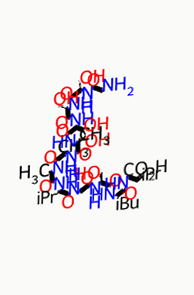 CC[C@H](C)[C@H](NC(=O)[C@H](CO)NC(=O)CNC(=O)[C@@H](NC(=O)[C@H](C)NC(=O)[C@H](C)NC(=O)[C@H](CO)NC(=O)[C@@H](NC(=O)[C@H](CO)NC(=O)[C@H](CO)NC(=O)CN)[C@@H](C)O)C(C)C)C(=O)N[C@@H](CC(C)C)C(=O)O